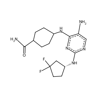 NC(=O)C1CCC(Nc2nc(N[C@@H]3CCC(F)(F)C3)ncc2N)CC1